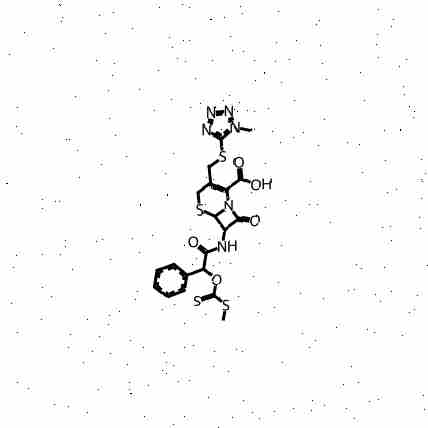 CSC(=S)OC(C(=O)NC1C(=O)N2C(C(=O)O)=C(CSc3nnnn3C)CSC12)c1ccccc1